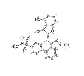 CN(C)S(=O)(=O)c1ccc(-c2ccnc3c2c(C=C2Oc4cccc(O)c4C2=O)cn3C)cc1